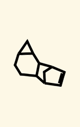 C1=CC2CC1C1CCC3CC3C21